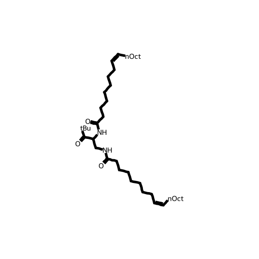 CCCCCCCC/C=C\CCCCCCCC(=O)NCC(NC(=O)CCCCCCC/C=C\CCCCCCCC)C(=O)C(C)(C)C